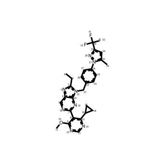 CCc1nc2cnc(-c3c(OC)ncnc3C3CC3)nc2n1Cc1ccc(-n2nc(C(F)(F)F)cc2C)cc1